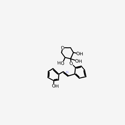 Oc1cccc(/C=C/c2ccccc2OC2(O)C(O)COCC2O)c1